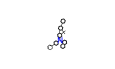 CC1(C)c2cc(-c3ccccc3)ccc2-c2ccc(N(c3ccc(C4=CC=CCC4)cc3)c3cccc4ccccc34)cc21